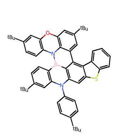 CC(C)(C)c1ccc(N2c3cc(C(C)(C)C)ccc3B3c4c2cc2sc5ccccc5c2c4-c2cc(C(C)(C)C)cc4c2N3c2ccc(C(C)(C)C)cc2O4)cc1